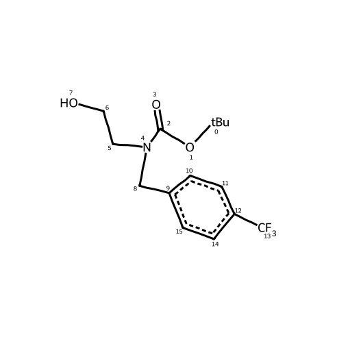 CC(C)(C)OC(=O)N(CCO)Cc1ccc(C(F)(F)F)cc1